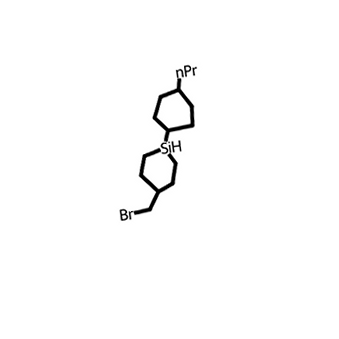 CCCC1CCC([SiH]2CCC(CBr)CC2)CC1